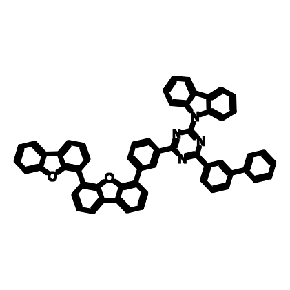 c1ccc(-c2cccc(-c3nc(-c4cccc(-c5cccc6c5oc5c(-c7cccc8c7oc7ccccc78)cccc56)c4)nc(-n4c5ccccc5c5ccccc54)n3)c2)cc1